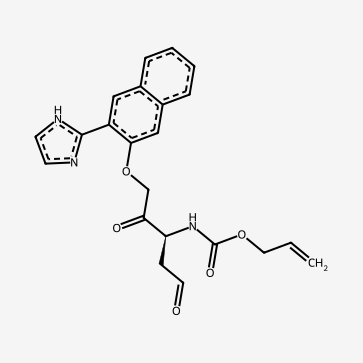 C=CCOC(=O)N[C@@H](CC=O)C(=O)COc1cc2ccccc2cc1-c1ncc[nH]1